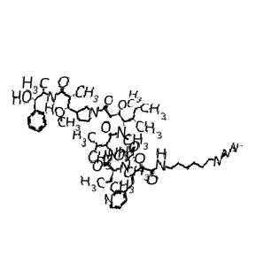 CC[C@H](C)[C@@H]([C@@H](CC(=O)N1CCC([C@H](OC)[C@@H](C)C(=O)N[C@H](C)[C@@H](O)c2ccccc2)C1)OC)N(C)C(=O)[C@@H](NC(=O)[C@H](C(C)C)N(C)P(=O)(O)OC(CCc1cccnc1)C(=O)NCCCCCCN=[N+]=[N-])C(C)C